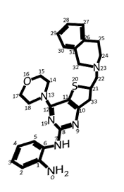 Nc1ccccc1Nc1nc2c(c(N3CCOCC3)n1)SC(CN1CCc3ccccc3C1)C2